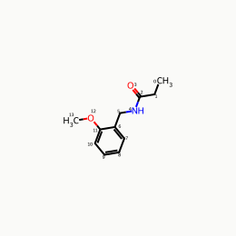 CCC(=O)NCc1ccccc1OC